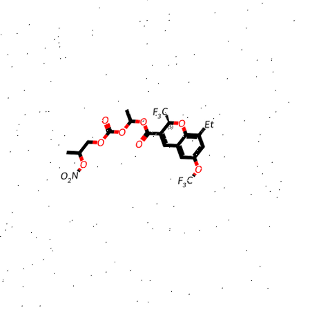 CCc1cc(OC(F)(F)F)cc2c1O[C@H](C(F)(F)F)C(C(=O)OC(C)OC(=O)OCC(C)O[N+](=O)[O-])=C2